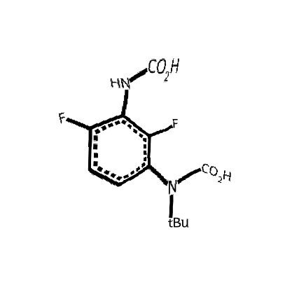 CC(C)(C)N(C(=O)O)c1ccc(F)c(NC(=O)O)c1F